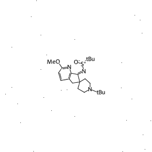 COc1ccc2c(n1)/C(=N\[S@+]([O-])C(C)(C)C)C1(CCN(C(C)(C)C)CC1)C2